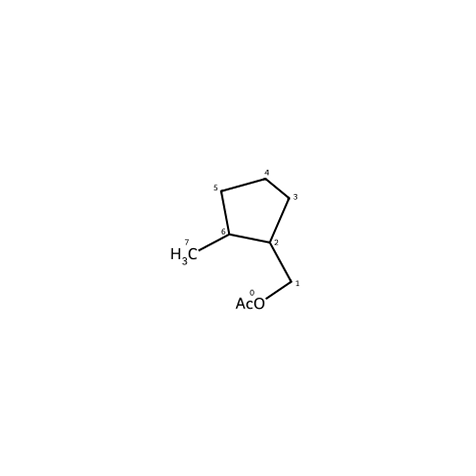 CC(=O)OCC1CCCC1C